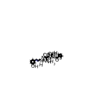 Cc1nc(NC/C=C/c2cccc(O)c2)nc(C)c1C(=O)N[C@@H](CNC(=O)c1cccs1)C(=O)O